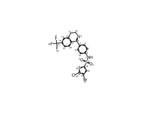 O=S(=O)(Nc1ccc(C2=NCCc3cc(C(F)(F)F)ccc32)cc1)c1cc(Br)c(Cl)s1